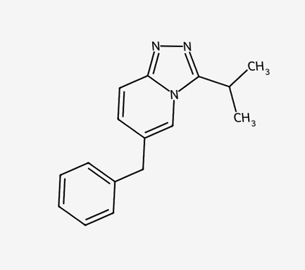 CC(C)c1nnc2ccc(Cc3ccccc3)cn12